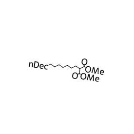 CCCCCCCCCCCCCCCCCC(C(=O)OC)C(=O)OC